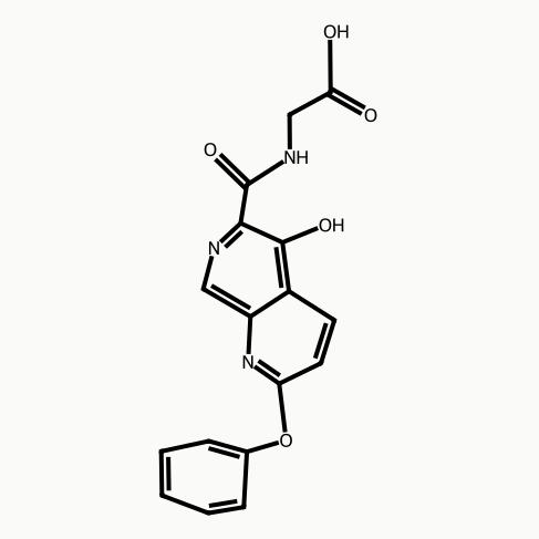 O=C(O)CNC(=O)c1ncc2nc(Oc3ccccc3)ccc2c1O